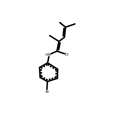 CC/C(Nc1ccc(Br)cc1)=C(/C)C=C(C)C